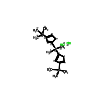 C[Si](C)(C)C1=CC[C]([Zr]([CH3])([CH3])[C]2=CC([Si](C)(C)C)=CC2)=C1.Cl.Cl